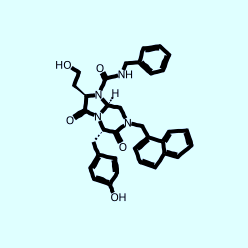 O=C1[C@H](Cc2ccc(O)cc2)N2C(=O)[C@@H](CCO)N(C(=O)NCc3ccccc3)[C@H]2CN1Cc1cccc2ccccc12